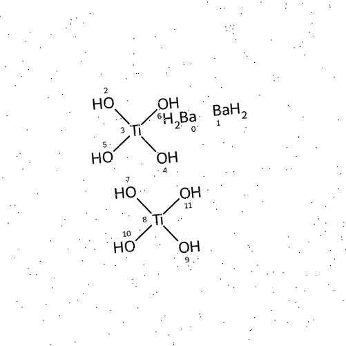 [BaH2].[BaH2].[OH][Ti]([OH])([OH])[OH].[OH][Ti]([OH])([OH])[OH]